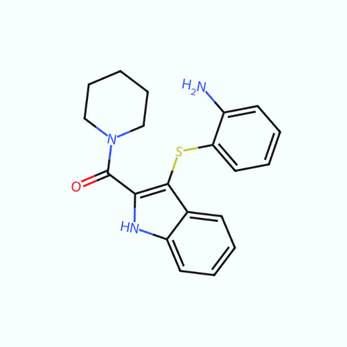 Nc1ccccc1Sc1c(C(=O)N2CCCCC2)[nH]c2ccccc12